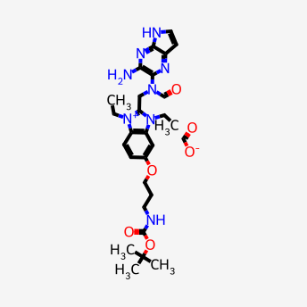 CCn1c(CN(C=O)c2nc3cc[nH]c3nc2N)[n+](CC)c2ccc(OCCCNC(=O)OC(C)(C)C)cc21.O=C[O-]